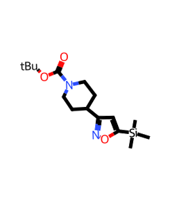 CC(C)(C)OC(=O)N1CCC(c2cc([Si](C)(C)C)on2)CC1